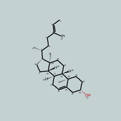 C/C=C(/CC[C@@H](C)[C@H]1CC[C@H]2[C@@H]3CC=C4C[C@@H](O)CC[C@]4(C)[C@H]3CC[C@]12C)C(C)C